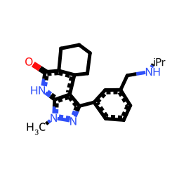 CC(C)NCc1cccc(-c2nn(C)c3[nH]c(=O)c4c(c23)CCCC4)c1